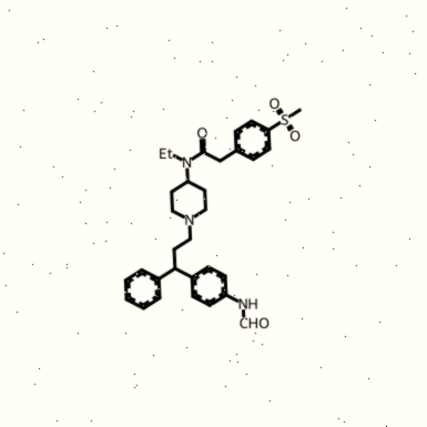 CCN(C(=O)Cc1ccc(S(C)(=O)=O)cc1)C1CCN(CCC(c2ccccc2)c2ccc(NC=O)cc2)CC1